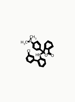 CN(C)c1ccc(C2(Nc3ccccc3-c3cccc(Cl)c3)OC(=O)c3ccccc32)cc1